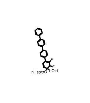 CCCCCCCCC1(OCCCCCCC)C=CC(c2ccc(-c3ccc(-c4ccccc4)cc3)cc2)=C(F)C1F